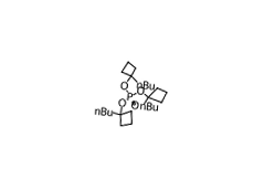 CCCCC1(OP(=O)(OC2(CCCC)CCC2)OC2(CCCC)CCC2)CCC1